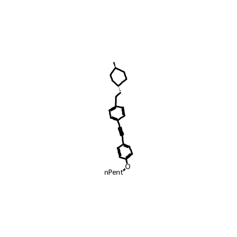 CCCCCOc1ccc(C#Cc2ccc(CC[C@H]3CC[C@H](C)CC3)cc2)cc1